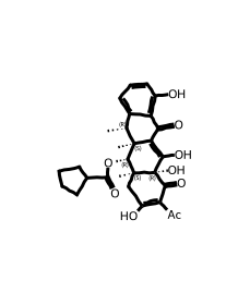 CC(=O)C1=C(O)C[C@@]2(C)[C@H](OC(=O)C3CCCC3)[C@]3(C)C(=C(O)[C@@]2(O)C1=O)C(=O)c1c(O)cccc1[C@H]3C